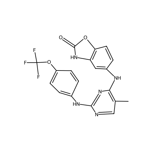 Cc1cnc(Nc2ccc(OC(F)(F)F)cc2)nc1Nc1ccc2oc(=O)[nH]c2c1